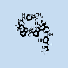 CCC(=O)N[C@@H]1CNC[C@H](Nc2ncc(C(F)(F)F)c(-c3c[nH]c4c(S(=O)(=O)n5cc(-c6nc(N[C@H]7CC[C@H](C(C)C)NC7)ncc6C(F)(F)F)c6ccccc65)cccc34)n2)C1